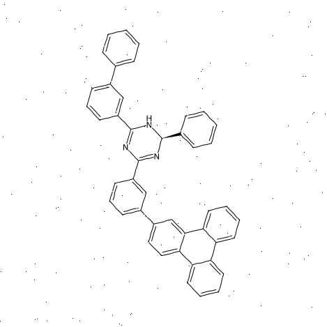 c1ccc(-c2cccc(C3=NC(c4cccc(-c5ccc6c7ccccc7c7ccccc7c6c5)c4)=N[C@H](c4ccccc4)N3)c2)cc1